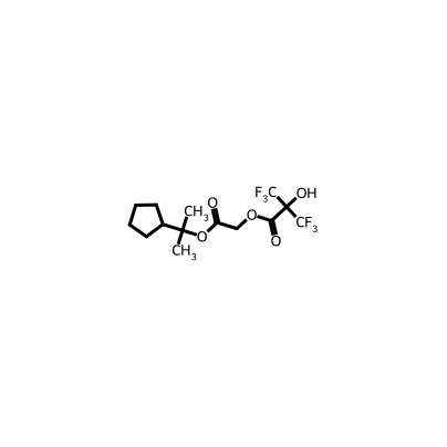 CC(C)(OC(=O)COC(=O)C(O)(C(F)(F)F)C(F)(F)F)C1CCCC1